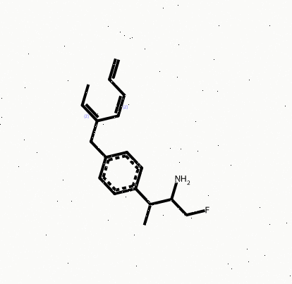 C=C/C=C\C(=C/C)Cc1ccc(C(C)C(N)CF)cc1